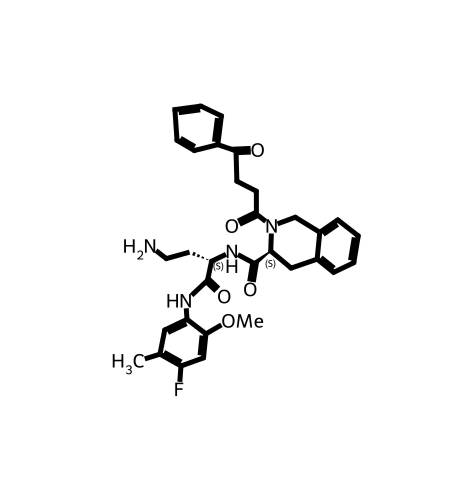 COc1cc(F)c(C)cc1NC(=O)[C@H](CCN)NC(=O)[C@@H]1Cc2ccccc2CN1C(=O)CCC(=O)c1ccccc1